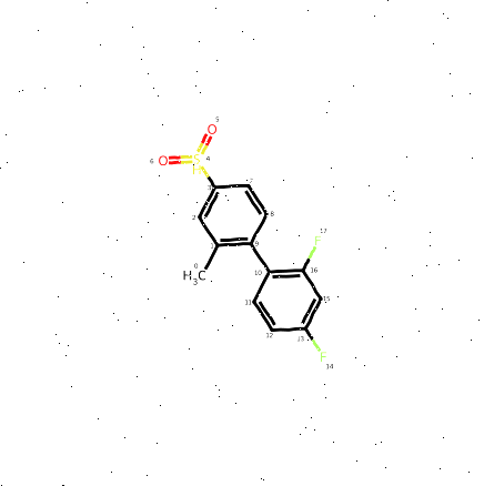 Cc1cc([SH](=O)=O)ccc1-c1ccc(F)cc1F